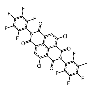 O=C1c2cc(Cl)c3c4c(c(Cl)cc(c24)C(=O)N1c1c(F)c(F)c(F)c(F)c1F)C(=O)N(c1c(F)c(F)c(F)c(F)c1F)C3=O